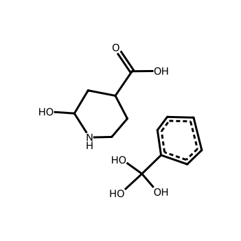 O=C(O)C1CCNC(O)C1.OC(O)(O)c1ccccc1